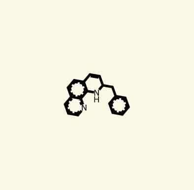 C1=CC(Cc2ccccc2)Nc2c1ccc1cccnc21